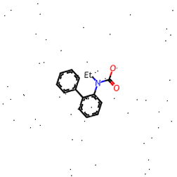 CCN(C([O])=O)c1ccccc1-c1ccccc1